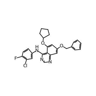 Fc1ccc(Nc2ncnc3cc(OCc4ccccc4)cc(OC4CCCC4)c23)cc1Cl